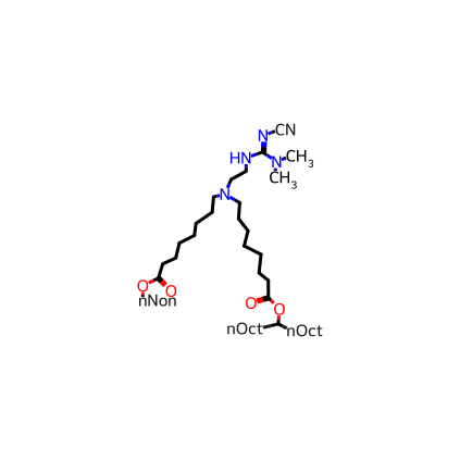 CCCCCCCCCOC(=O)CCCCCCCN(CCCCCCCC(=O)OC(CCCCCCCC)CCCCCCCC)CCN/C(=N/C#N)N(C)C